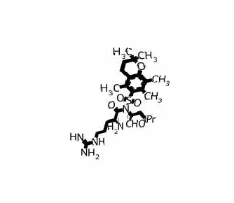 Cc1c(C)c(S(=O)(=O)N(C(=O)[C@@H](N)CCCNC(=N)N)[C@H](C=O)CC(C)C)c(C)c2c1OC(C)(C)CC2